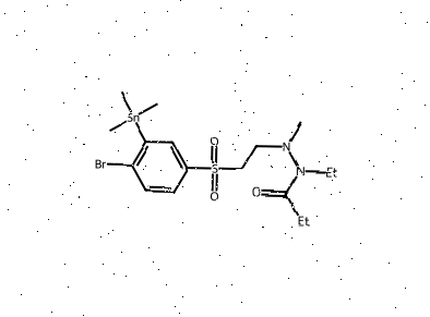 CCC(=O)N(CC)N(C)CCS(=O)(=O)c1ccc(Br)[c]([Sn]([CH3])([CH3])[CH3])c1